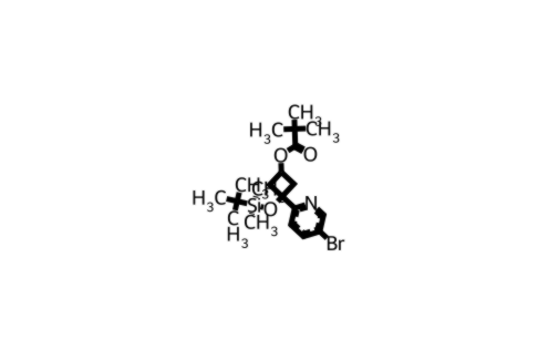 CC(C)(C)C(=O)OC1CC(O[Si](C)(C)C(C)(C)C)(c2ccc(Br)cn2)C1